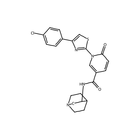 O=C(NC1CN2CCC1CC2)c1ccc(=O)n(-c2nc(-c3ccc(Cl)cc3)cs2)c1